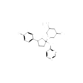 NC1CC(F)CN(C2(Oc3ccncn3)CCC(c3ccc(F)cc3)C2)C1